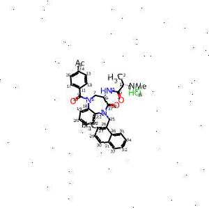 CN[C@@H](C)C(=O)N[C@H]1CN(C(=O)c2ccc(C(C)=O)cc2)c2ccccc2N(Cc2c(C)ccc3ccccc23)C1=O.Cl